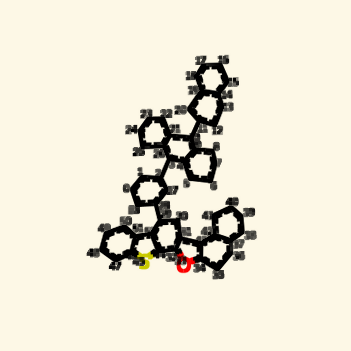 c1cc(-c2c3ccccc3c(-c3ccc4ccccc4c3)c3ccccc23)cc(-c2cc3c(oc4ccc5ccccc5c43)c3sc4ccccc4c23)c1